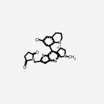 CN1CC[C@H](N2CCCc3cc(Cl)cc(-c4ccnc5cc(CN6C(=O)CCC6=O)sc45)c32)C1